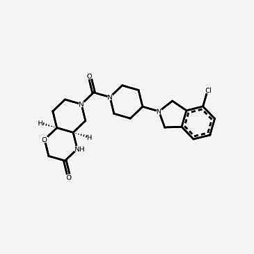 O=C1CO[C@H]2CCN(C(=O)N3CCC(N4Cc5cccc(Cl)c5C4)CC3)C[C@H]2N1